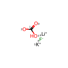 O=C([O-])O.[F-].[K+].[Li+]